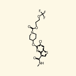 CNC(=O)c1csc2cc(Cl)c(OC3CCN(C(=O)OCCOC(F)(F)F)CC3)nc12